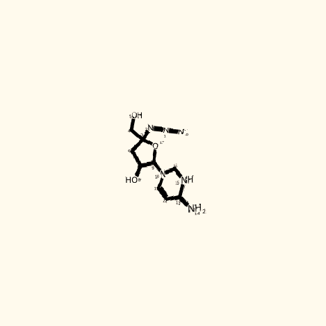 [N-]=[N+]=NC1(CO)CC(O)C(N2C=CC(N)NC2)O1